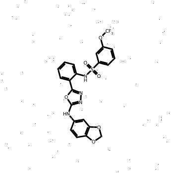 O=S(=O)(Nc1ccccc1-c1nnc(Nc2ccc3c(c2)OCO3)o1)c1cccc(OC(F)(F)F)c1